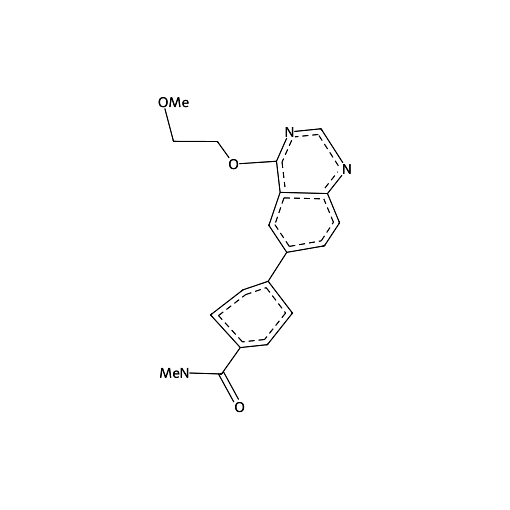 CNC(=O)c1ccc(-c2ccc3ncnc(OCCOC)c3c2)cc1